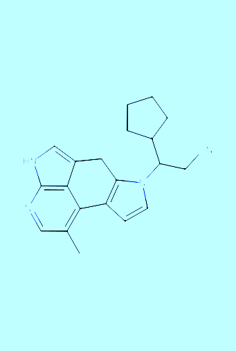 Cc1cnc2[nH]cc3c2c1-c1ccn(C(CC#N)C2CCCC2)c1C3